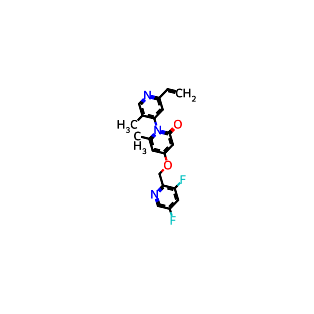 C=Cc1cc(-n2c(C)cc(OCc3ncc(F)cc3F)cc2=O)c(C)cn1